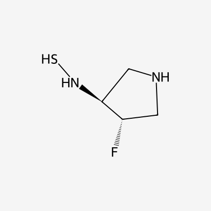 F[C@H]1CNC[C@@H]1NS